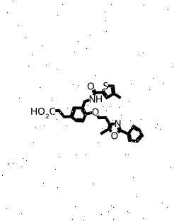 Cc1csc(C(=O)NCc2cc(CCC(=O)O)ccc2OCCc2nc(-c3ccccc3)oc2C)c1